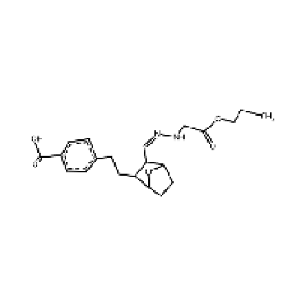 CCCOC(=O)CN/N=C\C1C2CCC(O2)C1CCc1ccc(C(=O)O)cc1